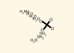 ClC(Cl)(Cl)Cl.O.O.O.O.O.O.[MgH2]